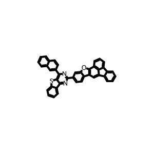 c1ccc2c(c1)-c1cccc3c1c-2cc1c2ccc(-c4nc(-c5ccc6ccccc6c5)c5sc6ccccc6c5n4)cc2oc31